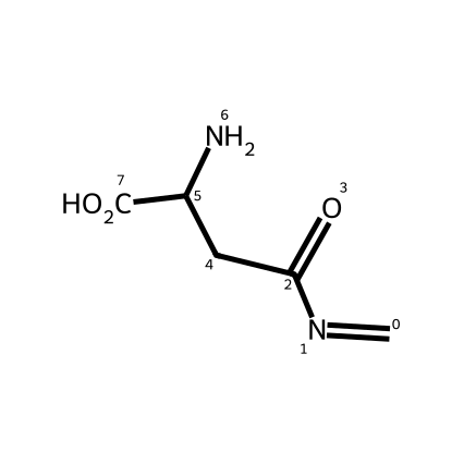 C=NC(=O)CC(N)C(=O)O